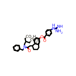 N=C(N)Nc1ccc(C(=O)Oc2ccc3c(c2)CCCC3CC(=O)N(Cc2ccccc2)CC(CC(=O)O)CC(=O)O)cc1